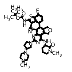 CN1CCN([C@@H]2CCN(c3nc(N[C@@H]4CCCN(C)C4=O)c4c5c(c(-c6ccc(F)c7sc(NC(=O)OC(C)(C)C)c(C#N)c67)c(Cl)c4n3)COC5)C2)CC1